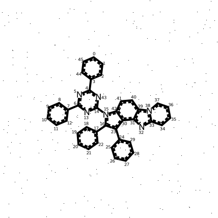 c1ccc(-c2nc(-c3ccccc3)nc(-n3c(-c4ccccc4)c(-c4ccccc4)c4c5nc6ccccn6c5ccc43)n2)cc1